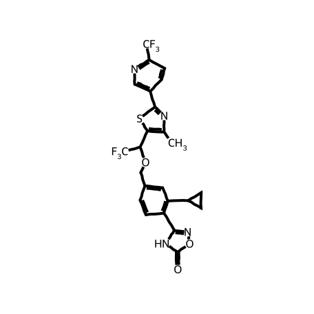 Cc1nc(-c2ccc(C(F)(F)F)nc2)sc1C(OCc1ccc(-c2noc(=O)[nH]2)c(C2CC2)c1)C(F)(F)F